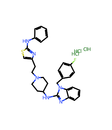 Cl.Cl.Cl.Fc1ccc(Cn2c(NC3CCN(CCc4csc(Nc5ccccc5)n4)CC3)nc3ccccc32)cc1